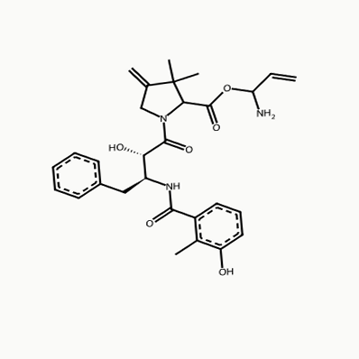 C=CC(N)OC(=O)C1N(C(=O)[C@@H](O)[C@H](Cc2ccccc2)NC(=O)c2cccc(O)c2C)CC(=C)C1(C)C